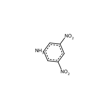 N.O=[N+]([O-])c1cccc([N+](=O)[O-])c1